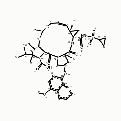 CC[C@@H]1C[C@@H](C)CC/C=C\[C@@H]2C[C@@]2(C(=O)NS(=O)(=O)C2CC2)NC(=O)[C@@H]2C[C@@H](Oc3ncc(OC)c4ccccc34)CN2C(=O)[C@H]1N(C(=O)O)C(C)(C)C(F)F